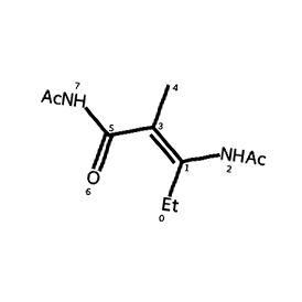 CC/C(NC(C)=O)=C(/C)C(=O)NC(C)=O